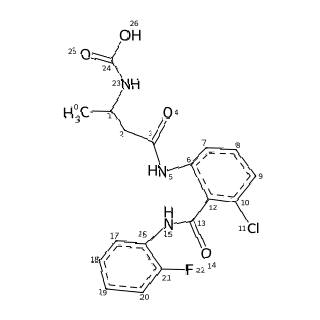 CC(CC(=O)Nc1cccc(Cl)c1C(=O)Nc1ccccc1F)NC(=O)O